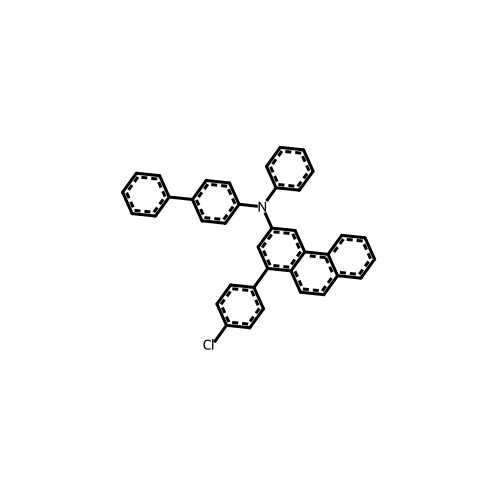 Clc1ccc(-c2cc(N(c3ccccc3)c3ccc(-c4ccccc4)cc3)cc3c2ccc2ccccc23)cc1